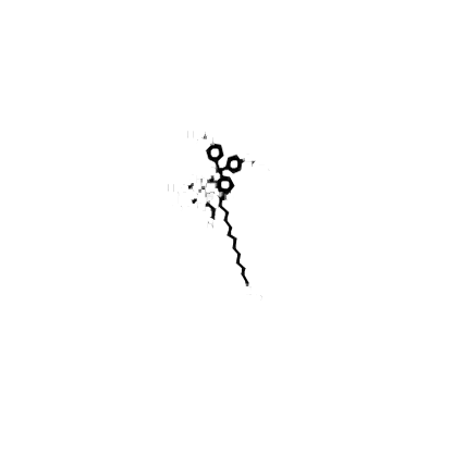 CCCCCCCCCCCCCC(=O)NC[C@H](OP(OCCC#N)N(C(C)C)C(C)C)OC(c1ccccc1)(c1ccc(OC)cc1)c1ccc(OC)cc1